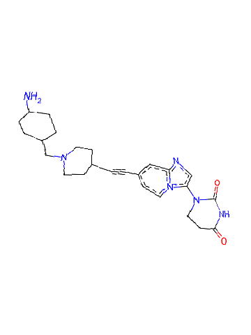 NC1CCC(CN2CCC(C#Cc3ccn4c(N5CCC(=O)NC5=O)cnc4c3)CC2)CC1